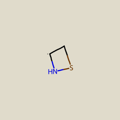 [CH]1CSN1